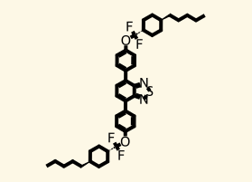 CCCCC[C@H]1CC[C@H](C(F)(F)Oc2ccc(-c3ccc(-c4ccc(OC(F)(F)[C@H]5CC[C@H](CCCCC)CC5)cc4)c4nsnc34)cc2)CC1